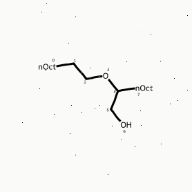 CCCCCCCCCCOC(CO)CCCCCCCC